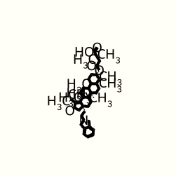 CC(C)C1=C2[C@@](CCN3Cc4ccccc4C3)(CC[C@]3(C)[C@]2(C)CCC2[C@@]4(C)CC[C@H](OC(=O)CC(C)(C)C(=O)O)C(C)(C)C4CC[C@]23C)CC1=O